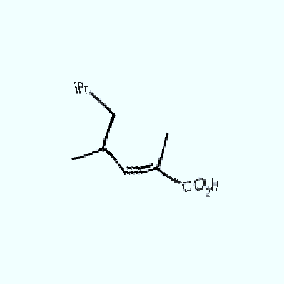 C[C](C=C(C)C(=O)O)CC(C)C